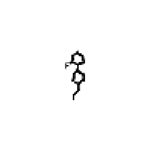 CCCc1ccc(-c2cc[c]cc2F)cc1